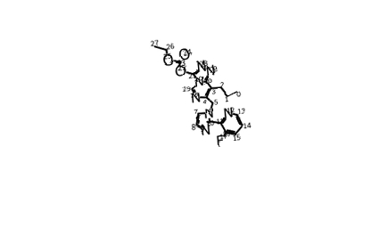 CCCc1c(Cn2ccnc2-c2ncccc2F)ncn2c(OC(=O)OCC)nnc12